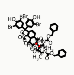 C[C@H](NC(=O)OCc1ccccc1)C(=O)N[C@@H](C)C(=O)c1ccc2c(c1C(=O)[C@H](C)NC(=O)[C@H](C)NC(=O)OCc1ccccc1)S(=O)(=O)OC2(c1cc(Br)c(O)c(Br)c1)c1cc(Br)c(O)c(Br)c1